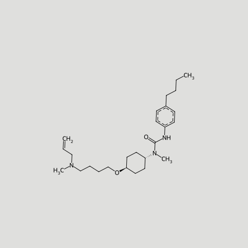 C=CCN(C)CCCCO[C@H]1CC[C@H](N(C)C(=O)Nc2ccc(CCCC)cc2)CC1